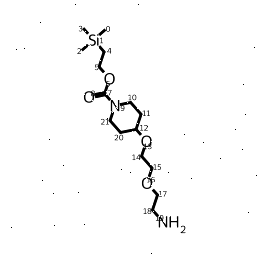 C[Si](C)(C)CCOC(=O)N1CCC(OCCOCCN)CC1